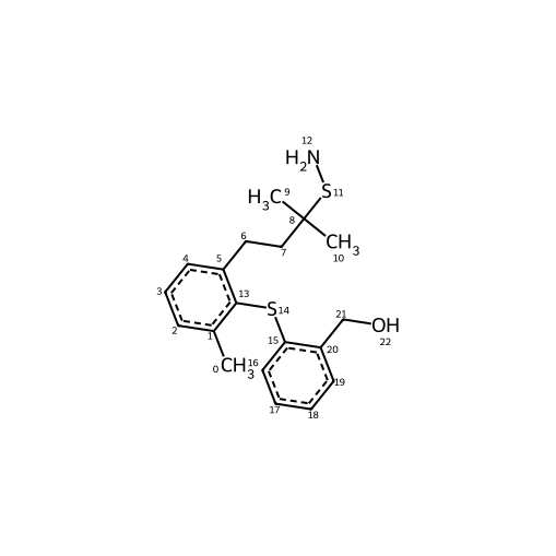 Cc1cccc(CCC(C)(C)SN)c1Sc1ccccc1CO